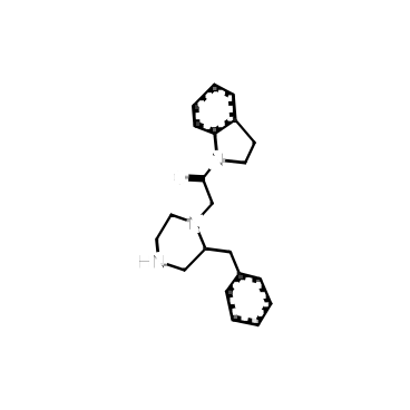 O=C(CN1CCNCC1Cc1ccccc1)N1CCc2ccccc21